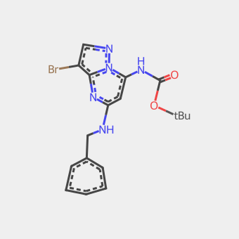 CC(C)(C)OC(=O)Nc1cc(NCc2ccccc2)nc2c(Br)cnn12